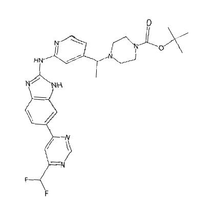 CC(c1ccnc(Nc2nc3ccc(-c4cc(C(F)F)ncn4)cc3[nH]2)c1)N1CCN(C(=O)OC(C)(C)C)CC1